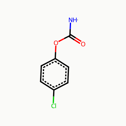 [NH]C(=O)Oc1ccc(Cl)cc1